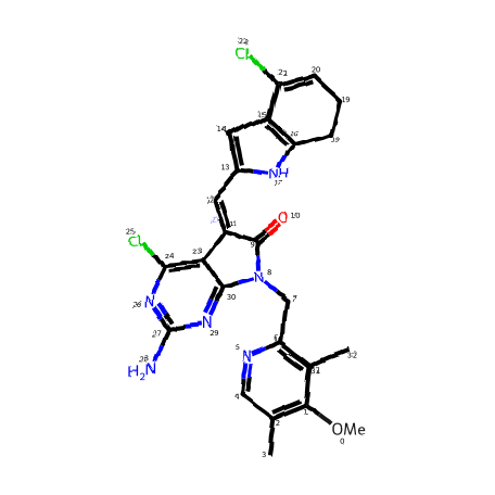 COc1c(C)cnc(CN2C(=O)/C(=C\c3cc4c([nH]3)CCC=C4Cl)c3c(Cl)nc(N)nc32)c1C